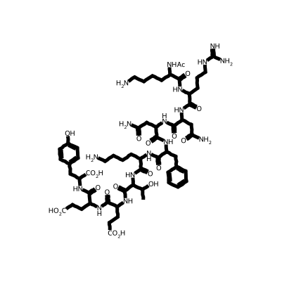 CC(=O)NC(CCCCN)C(=O)NC(CCCNC(=N)N)C(=O)NC(CC(N)=O)C(=O)NC(CC(N)=O)C(=O)NC(Cc1ccccc1)C(=O)NC(CCCCN)C(=O)NC(C(=O)NC(CCC(=O)O)C(=O)NC(CCC(=O)O)C(=O)NC(Cc1ccc(O)cc1)C(=O)O)C(C)O